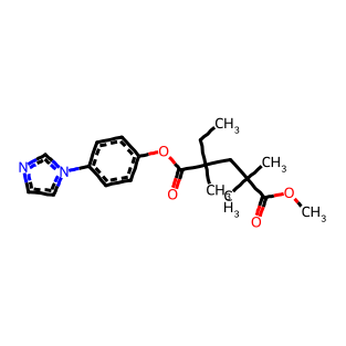 CCC(C)(CC(C)(C)C(=O)OC)C(=O)Oc1ccc(-n2ccnc2)cc1